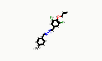 C=CCOc1c(F)cc(/C=N/N=C/c2ccc(CCC)cc2)cc1F